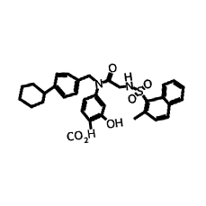 Cc1ccc2ccccc2c1S(=O)(=O)NCC(=O)N(Cc1ccc(C2CCCCC2)cc1)c1ccc(C(=O)O)c(O)c1